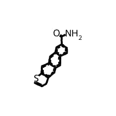 NC(=O)c1ccc2cc3cc4c(cc3cc2c1)SC=CC4